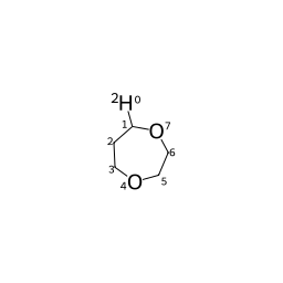 [2H]C1CCOCCO1